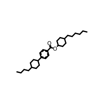 CCCCCCC1CCC(OC(=O)c2ccc(C3CCC(CCCC)CC3)cc2)CC1